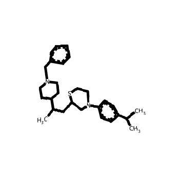 CC(C)c1ccc(N2CCSC(CC(C)C3CCN(Cc4ccccc4)CC3)C2)cc1